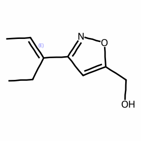 C/C=C(\CC)c1cc(CO)on1